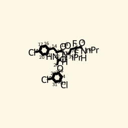 CCCNC(=O)C(F)(F)C(=O)[C@@H](NC(=O)C(Cc1ccc(Cl)cc1)NC(=O)COc1cc(Cl)cc(Cl)c1)C(C)C